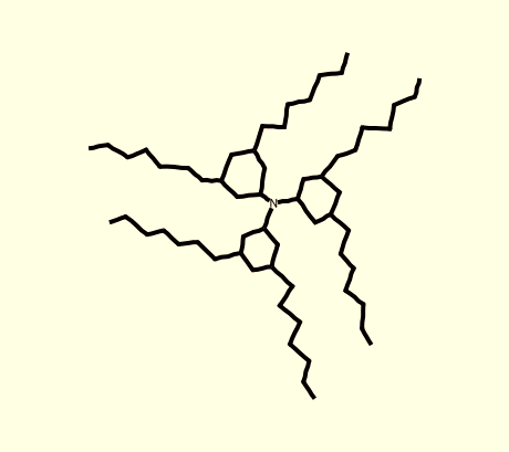 CCCCCCCC1CC(CCCCCCC)CC(N(C2CC(CCCCCCC)CC(CCCCCCC)C2)C2CC(CCCCCCC)CC(CCCCCCC)C2)C1